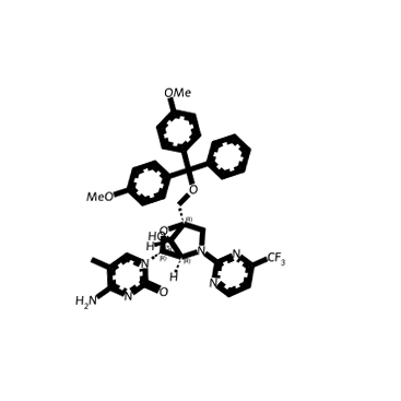 COc1ccc(C(OC[C@@]23CN(c4nccc(C(F)(F)F)n4)[C@@H]([C@H](n4cc(C)c(N)nc4=O)O2)[C@@H]3O)(c2ccccc2)c2ccc(OC)cc2)cc1